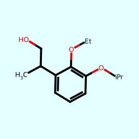 CCOc1c(OC(C)C)cccc1[C](C)CO